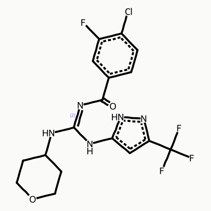 O=C(/N=C(\Nc1cc(C(F)(F)F)n[nH]1)NC1CCOCC1)c1ccc(Cl)c(F)c1